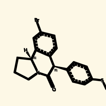 CSc1ccc([C@H]2C(=O)N3CCC[C@H]3c3cc(Br)ccc32)cc1